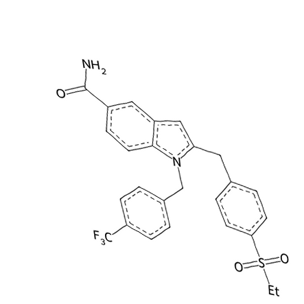 CCS(=O)(=O)c1ccc(Cc2cc3cc(C(N)=O)ccc3n2Cc2ccc(C(F)(F)F)cc2)cc1